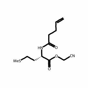 C=CCCC(=O)N[C@@H](CCSC)C(=O)OCC#N